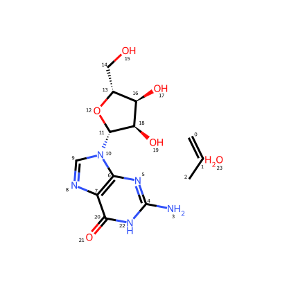 C=CC.Nc1nc2c(ncn2[C@@H]2O[C@H](CO)[C@@H](O)[C@H]2O)c(=O)[nH]1.O